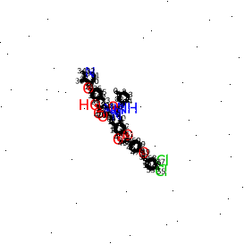 Cc1cccc(NC(=O)N2Cc3cc4c(cc3C[C@H]2C(=O)N[C@@H](Cc2ccc(Oc3ccnc(C)c3C)cc2)C(=O)O)OC[C@H](c2ccc(OCc3ccc(Cl)c(Cl)c3)cc2)O4)c1